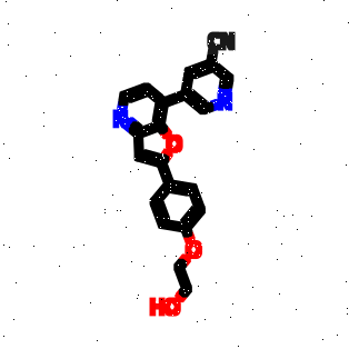 N#Cc1cncc(-c2ccnc3cc(-c4ccc(OCCO)cc4)oc23)c1